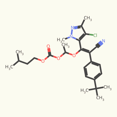 Cc1nn(C)c(/C(OC(C)OC(=O)OCCC(C)C)=C(\C#N)c2ccc(C(C)(C)C)cc2)c1Cl